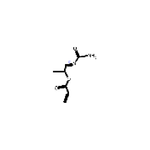 C=CC(=O)OC(C)/C=N/C(N)=O